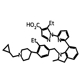 CCc1cc(CN2c3c(cccc3-c3cccc(-n4ncc(C(=O)O)c4CC)n3)CC2C)ccc1C1CCN(CC2CC2)CC1